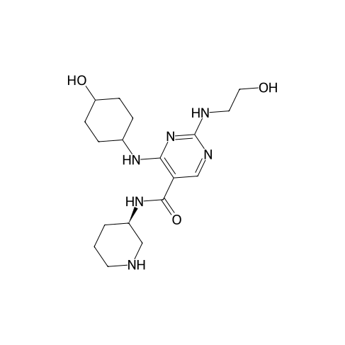 O=C(N[C@@H]1CCCNC1)c1cnc(NCCO)nc1NC1CCC(O)CC1